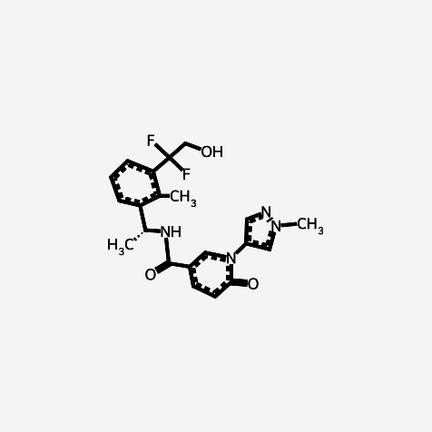 Cc1c([C@@H](C)NC(=O)c2ccc(=O)n(-c3cnn(C)c3)c2)cccc1C(F)(F)CO